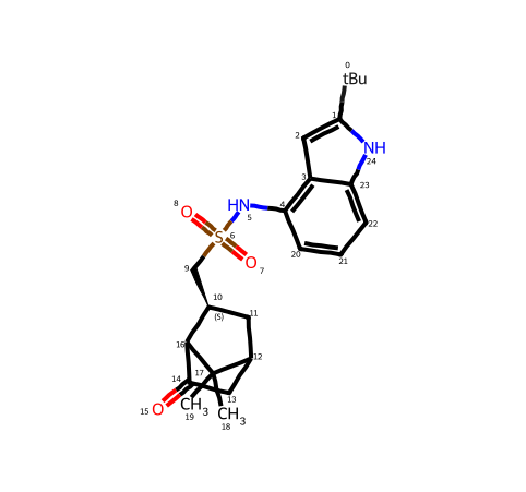 CC(C)(C)c1cc2c(NS(=O)(=O)C[C@H]3CC4CC(=O)C3C4(C)C)cccc2[nH]1